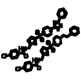 O=C(NCc1ccc(S(=O)(=O)N2CCC(CCc3ccccc3)CC2)s1)c1ccc(Cl)cc1.O=C(NCc1ccc(S(=O)(=O)N2CCN(c3nc(-c4ccccc4)ns3)CC2)s1)c1ccc(Cl)cc1